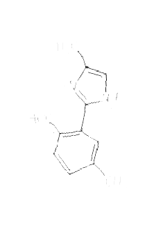 Cc1ccc(O)c(-c2nc(C)c[nH]2)c1